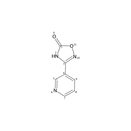 O=c1[nH]c(-c2[c]nccc2)no1